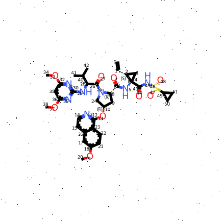 C=C[C@@H]1C[C@]1(NC(=O)[C@@H]1C[C@@H](Oc2nccc3cc(OC)ccc23)CN1C(=O)C(Nc1nc(OC)cc(OC)n1)C(C)C)C(=O)NS(=O)(=O)C1CC1